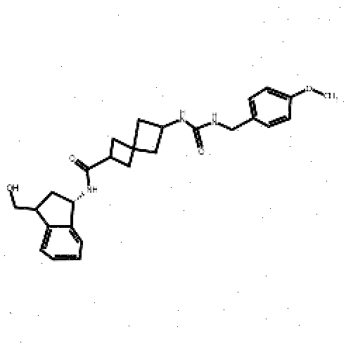 COc1ccc(CNC(=O)NC2CC3(C2)CC(C(=O)N[C@H]2CC(CO)c4ccccc42)C3)cc1